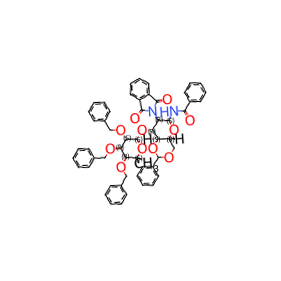 C[C@@H]1O[C@@H](O[C@H]2[C@@H]3OC(c4ccccc4)OC[C@H]3O[C@H](NC(=O)c3ccccc3)[C@@H]2N2C(=O)c3ccccc3C2=O)[C@@H](OCc2ccccc2)[C@H](OCc2ccccc2)[C@@H]1OCc1ccccc1